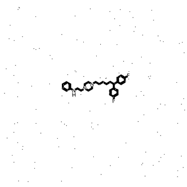 Fc1ccc(C(CCCCCN2CCN(CCNc3ccccc3)CC2)c2ccc(F)cc2)cc1